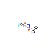 O=C(Nc1cnccc1-c1ccccc1)c1ccnc(NC(=O)C2CC(F)(F)C2)c1